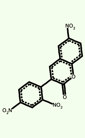 O=c1oc2ccc([N+](=O)[O-])cc2cc1-c1ccc([N+](=O)[O-])cc1[N+](=O)[O-]